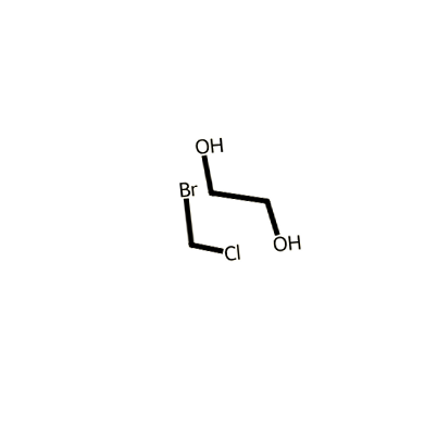 ClCBr.OCCO